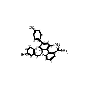 NC(=O)c1cccc2c1c1c(O)cc(-c3ccc(Cl)cc3)cc1n2Cc1cccc(Br)c1